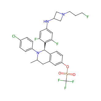 CC1Cc2cc(OS(=O)(=O)C(F)(F)F)ccc2[C@H](c2c(F)cc(NC3CN(CCCF)C3)cc2F)N1c1ccc(Cl)cc1